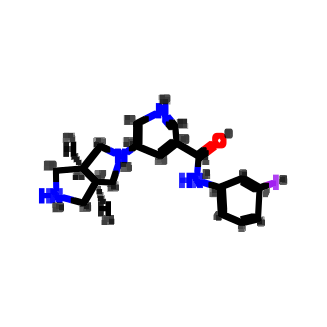 O=C(Nc1cccc(I)c1)c1cncc(N2C[C@H]3CNC[C@H]3C2)c1